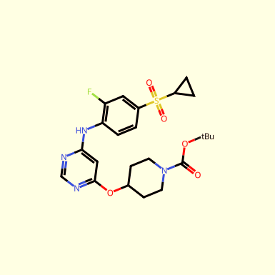 CC(C)(C)OC(=O)N1CCC(Oc2cc(Nc3ccc(S(=O)(=O)C4CC4)cc3F)ncn2)CC1